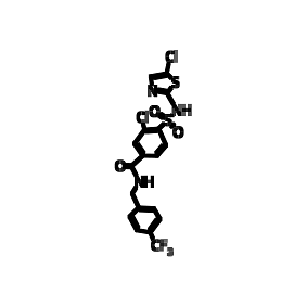 O=C(NCc1ccc(C(F)(F)F)cc1)c1ccc(S(=O)(=O)Nc2ncc(Cl)s2)c(Cl)c1